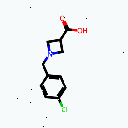 O=C(O)C1CN(Cc2ccc(Cl)cc2)C1